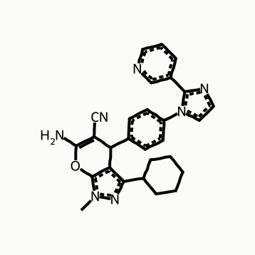 Cn1nc(C2CCCCC2)c2c1OC(N)=C(C#N)C2c1ccc(-n2ccnc2-c2cccnc2)cc1